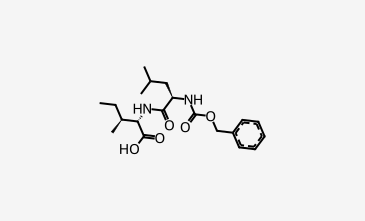 CC[C@H](C)[C@H](NC(=O)[C@@H](CC(C)C)NC(=O)OCc1ccccc1)C(=O)O